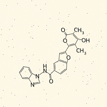 Cc1c(-c2cc3cc(C(=O)Nn4cnc5ccccc54)ccc3o2)oc(=O)c(C)c1O